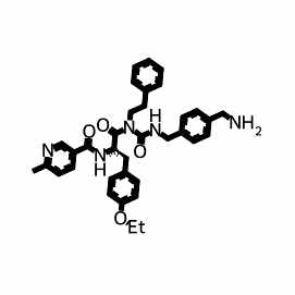 CCOc1ccc(C[C@@H](NC(=O)c2ccc(C)nc2)C(=O)N(CCc2ccccc2)C(=O)NCc2ccc(CN)cc2)cc1